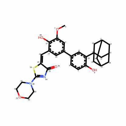 COc1cc(-c2ccc(O)c(C34CC5CC(CC(C5)C3)C4)c2)cc(C=C2SC(N3CCOCC3)=NC2=O)c1O